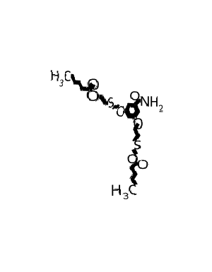 CCCCCC(=O)OCCSCCCOc1cc(OCCSCCOC(=O)CCCCC)cc(C(N)=O)c1